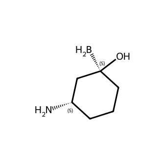 B[C@]1(O)CCC[C@H](N)C1